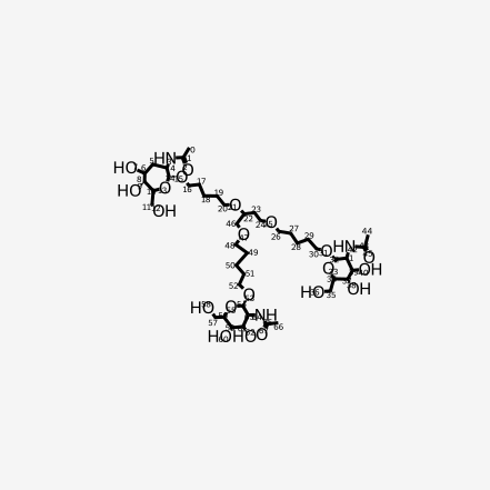 CC(=O)NC1CC(O)[C@@H](O)C(CO)O[C@H]1OCCCCCOC(CCOCCCCCO[C@@H]1OC(CO)[C@H](O)C(O)C1NC(C)=O)COCCCCCO[C@@H]1OC(CO)[C@H](O)C(O)C1NC(C)=O